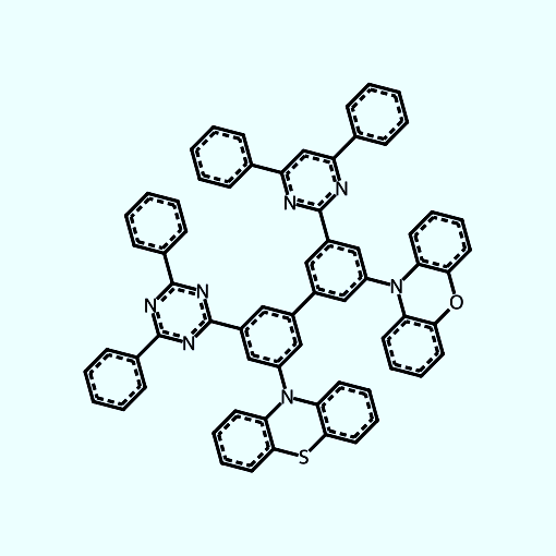 c1ccc(-c2cc(-c3ccccc3)nc(-c3cc(-c4cc(-c5nc(-c6ccccc6)nc(-c6ccccc6)n5)cc(N5c6ccccc6Sc6ccccc65)c4)cc(N4c5ccccc5Oc5ccccc54)c3)n2)cc1